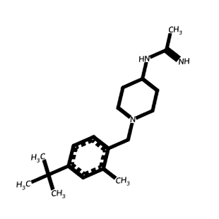 CC(=N)NC1CCN(Cc2ccc(C(C)(C)C)cc2C)CC1